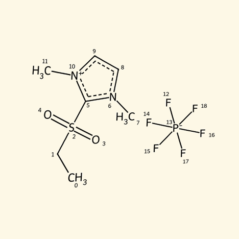 CCS(=O)(=O)c1n(C)cc[n+]1C.F[P-](F)(F)(F)(F)F